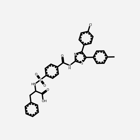 Cc1ccc(-c2sc(NC(=O)c3ccc(S(=O)(=O)NC(Cc4ccccc4)C(=O)O)cc3)nc2-c2ccc(Cl)cc2)cc1